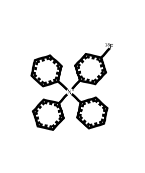 [18F]c1ccc([N+](c2ccccc2)(c2ccccc2)c2ccccc2)cc1